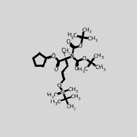 CC(C)(C)OC(=O)N(C(=O)OC(C)(C)C)[C@@](C)(CCCO[Si](C)(C)C(C)(C)C)C(=O)OC1CCCC1